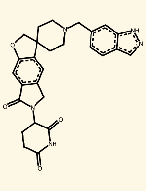 O=C1CCC(N2Cc3cc4c(cc3C2=O)OCC42CCN(Cc3ccc4cn[nH]c4c3)CC2)C(=O)N1